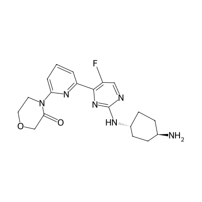 N[C@H]1CC[C@H](Nc2ncc(F)c(-c3cccc(N4CCOCC4=O)n3)n2)CC1